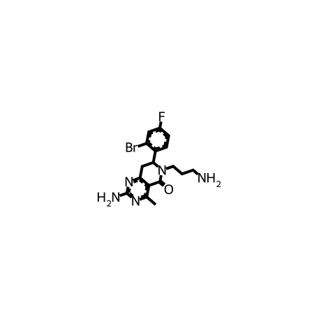 Cc1nc(N)nc2c1C(=O)N(CCCN)C(c1ccc(F)cc1Br)C2